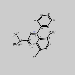 Cc1ccc(O)c(/C(=C\C(=O)N(C(C)C)C(C)C)c2ccccc2)c1